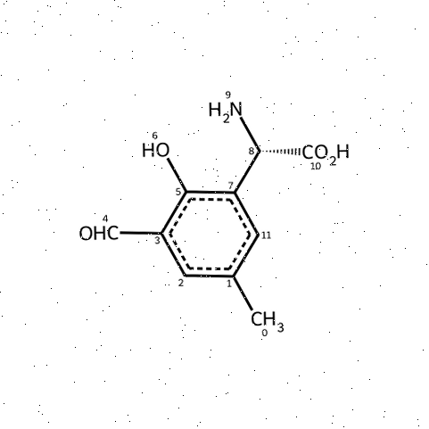 Cc1cc(C=O)c(O)c([C@H](N)C(=O)O)c1